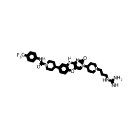 N=C(N)NCCCN1CCC(n2cc3c(nc2=O)Nc2cc(C4CCN(C(=O)Nc5ccc(C(F)(F)F)cc5)CC4)ccc2O3)CC1